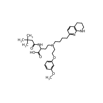 COc1cccc(OCCN(CCCCc2ccc3c(n2)NCCC3)CCC(NC(=O)CC(C)(C)C)C(=O)O)c1